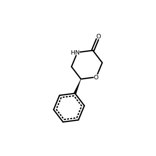 O=C1CO[C@@H](c2ccccc2)CN1